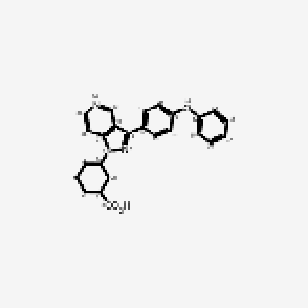 O=C(O)C1CCCC(n2nc(-c3ccc(Oc4ccccc4)cc3)c3cnccc32)C1